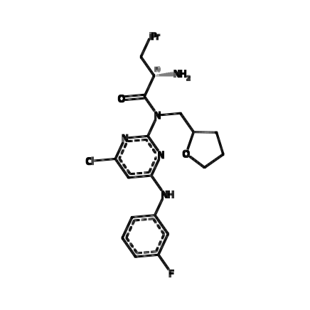 CC(C)C[C@H](N)C(=O)N(CC1CCCO1)c1nc(Cl)cc(Nc2cccc(F)c2)n1